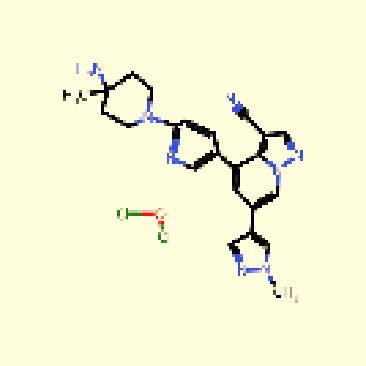 ClOCl.Cn1cc(-c2cc(-c3ccc(N4CCC(C)(N)CC4)nc3)c3c(C#N)cnn3c2)cn1